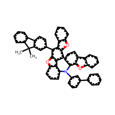 CC1(C)c2ccccc2-c2ccc(-c3c4oc5cccc(N(c6cccc(-c7ccccc7)c6)c6cccc7c6oc6ccccc67)c5c4cc4oc5ccccc5c34)cc21